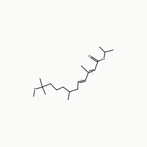 CSC(C)(C)CCCC(C)C/C=C/C(C)=C/C(=O)OC(C)C